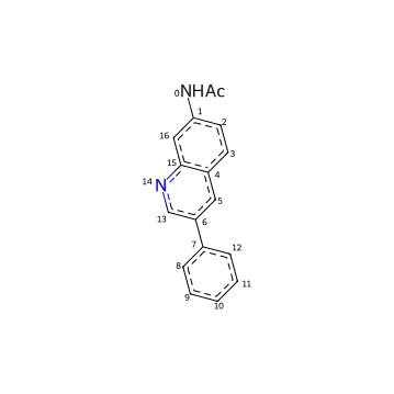 CC(=O)Nc1ccc2cc(-c3ccccc3)cnc2c1